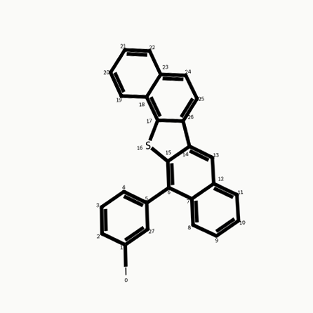 Ic1cccc(-c2c3ccccc3cc3c2sc2c4ccccc4ccc32)c1